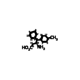 CC1C=CC(C(c2ccccc2)[C@H](N)CC(=O)O)=CC1